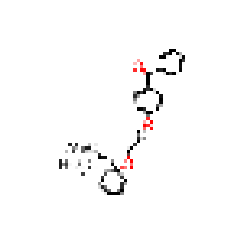 CO[C@@H](CC1(OCCCOc2ccc(C(=O)c3ccccc3)cc2)C=CC=CC1)C(=O)O